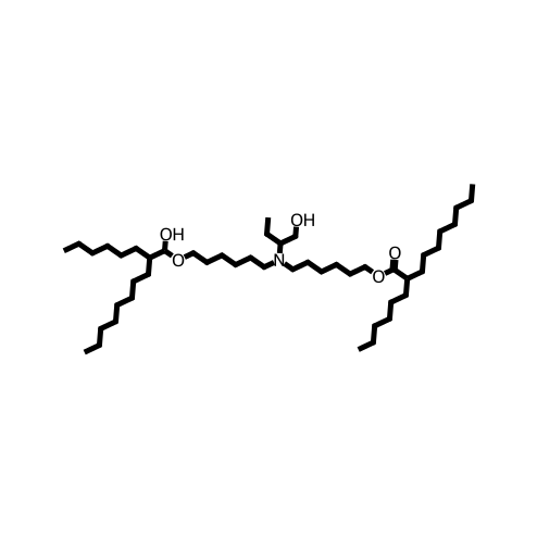 CCCCCCCCC(CCCCCC)C(=O)OCCCCCCN(CCCCCCOC(O)C(CCCCCC)CCCCCCCC)C(CC)CO